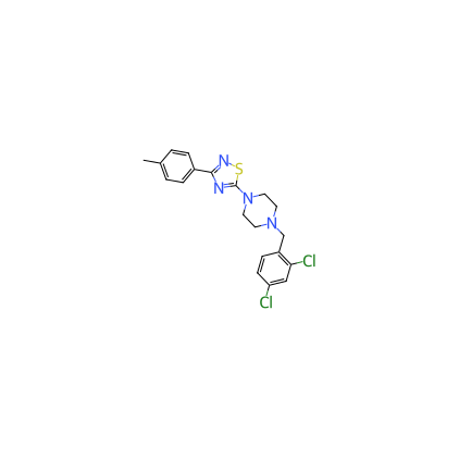 Cc1ccc(-c2nsc(N3CCN(Cc4ccc(Cl)cc4Cl)CC3)n2)cc1